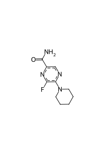 NC(=O)c1cnc(N2CCCCC2)c(F)n1